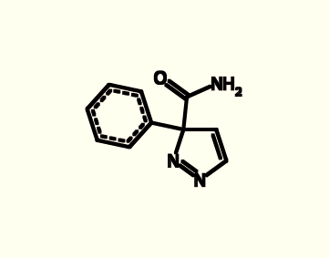 NC(=O)C1(c2ccccc2)C=CN=N1